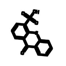 O=c1c2ccccc2sc2c(S(=O)(=O)O)cccc12